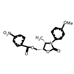 COc1ccc(N2C(=O)O[C@H](COC(=O)c3ccc([N+](=O)[O-])cc3)[C@@H]2C)cc1